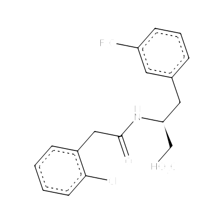 O=C(O)C[C@H](Cc1cccc(C(F)(F)F)c1)NC(=O)Cc1ccccc1Cl